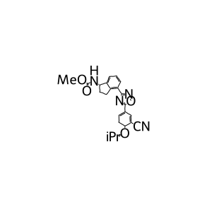 COC(=O)N[C@H]1CCc2c(-c3noc(C4=CCC(OC(C)C)C(C#N)=C4)n3)cccc21